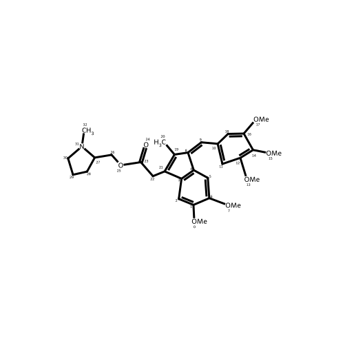 COc1cc2c(cc1OC)/C(=C\c1cc(OC)c(OC)c(OC)c1)C(C)=C2CC(=O)OCC1CCCN1C